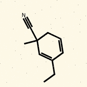 CCC1=CC(C)(C#N)CC=C1